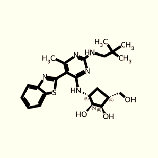 Cc1nc(NCC(C)(C)C)nc(N[C@@H]2C[C@H](CO)[C@@H](O)[C@H]2O)c1-c1nc2ccccc2s1